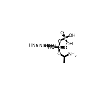 CC(N)OP(=O)(O)OP(=O)(O)O.[NaH].[NaH].[NaH].[NaH]